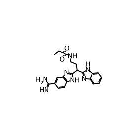 CCS(=O)(=O)NCCC(c1nc2ccccc2[nH]1)c1nc2cc(C(=N)N)ccc2[nH]1